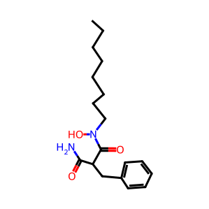 CCCCCCCCN(O)C(=O)C(Cc1ccccc1)C(N)=O